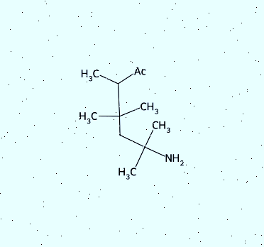 CC(=O)C(C)C(C)(C)CC(C)(C)N